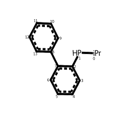 CC(C)Pc1ccccc1-c1ccccc1